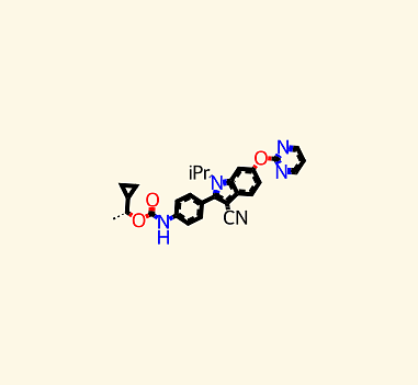 CC(C)n1c(-c2ccc(NC(=O)O[C@H](C)C3CC3)cc2)c(C#N)c2ccc(Oc3ncccn3)cc21